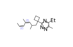 C/C=C\C(C)=C/C(C)CC1(c2nnc(C)c(CC)n2)CCC1